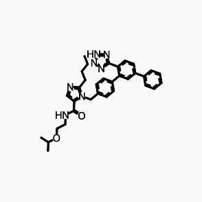 CCCCc1ncc(C(=O)NCCOC(C)C)n1Cc1ccc(-c2cc(-c3ccccc3)ccc2-c2nn[nH]n2)cc1